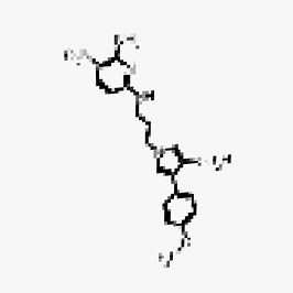 Nc1nc(NCCCn2cc(C(=O)O)c(-c3ccc(OC(F)(F)F)cc3)c2)ccc1[N+](=O)[O-]